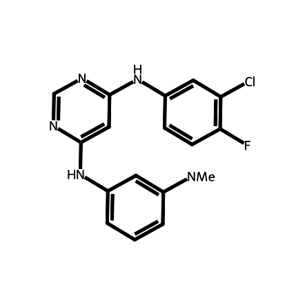 CNc1cccc(Nc2cc(Nc3ccc(F)c(Cl)c3)ncn2)c1